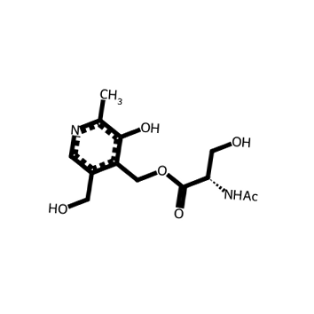 CC(=O)N[C@@H](CO)C(=O)OCc1c(CO)cnc(C)c1O